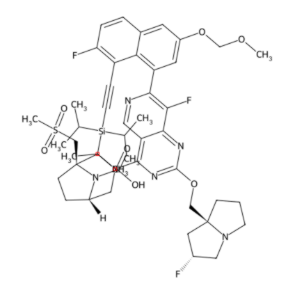 COCOc1cc(-c2ncc3c(N4C[C@@H]5CC[C@](CS(C)(=O)=O)(C4)N5C(=O)O)nc(OC[C@@]45CCCN4C[C@H](F)C5)nc3c2F)c2c(C#C[Si](C(C)C)(C(C)C)C(C)C)c(F)ccc2c1